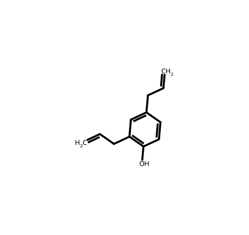 C=CCc1ccc(O)c(CC=C)c1